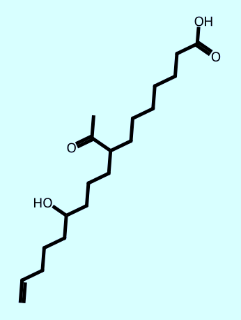 C=CCCCC(O)CCCC(CCCCCCC(=O)O)C(C)=O